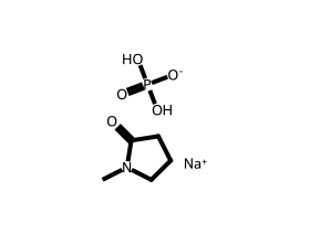 CN1CCCC1=O.O=P([O-])(O)O.[Na+]